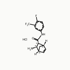 Cl.N[C@H]1[C@@H](C(=O)Nc2ccc(F)c(C(F)(F)F)c2)[C@@H]2C=C[C@H]1C2